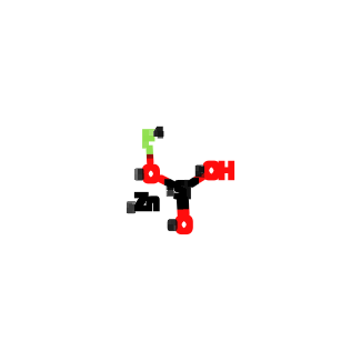 O=[Si](O)OF.[Zn]